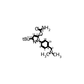 CN(C)Cc1ccc(-n2nc(C(C)(C)C)cc2OC(N)=O)cc1